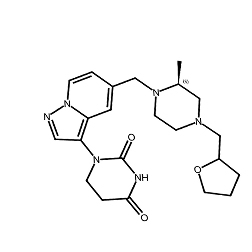 C[C@H]1CN(CC2CCCO2)CCN1Cc1ccn2ncc(N3CCC(=O)NC3=O)c2c1